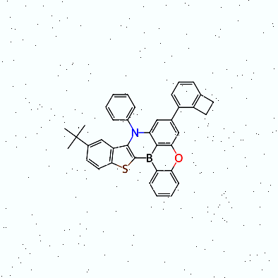 CC(C)(C)c1ccc2sc3c(c2c1)N(c1ccccc1)c1cc(-c2cccc4c2CC4)cc2c1B3c1ccccc1O2